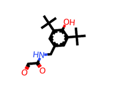 CC(C)(C)c1cc(CNC(=O)C=O)cc(C(C)(C)C)c1O